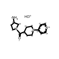 Cl.NC1CCN(C(=O)C2CCN(c3ccncc3)CC2)C1